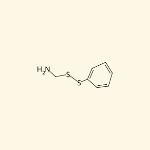 NCSSc1ccccc1